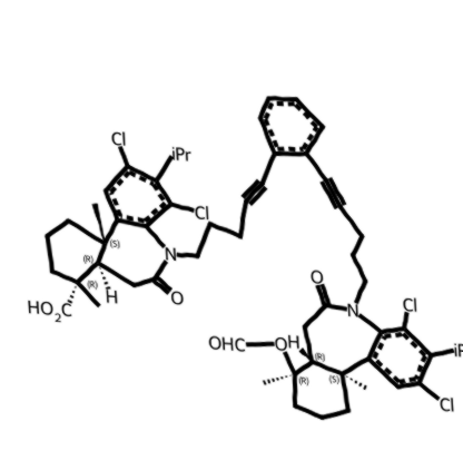 CC(C)c1c(Cl)cc2c(c1Cl)N(CCCC#Cc1ccccc1C#CCCCN1C(=O)C[C@H]3[C@](C)(C(=O)O)CCC[C@]3(C)c3cc(Cl)c(C(C)C)c(Cl)c31)C(=O)C[C@H]1[C@](C)(OC=O)CCC[C@]21C